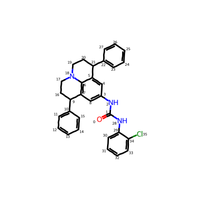 O=C(Nc1cc2c3c(c1)C(c1ccccc1)CCN3CCC2c1ccccc1)Nc1ccccc1Cl